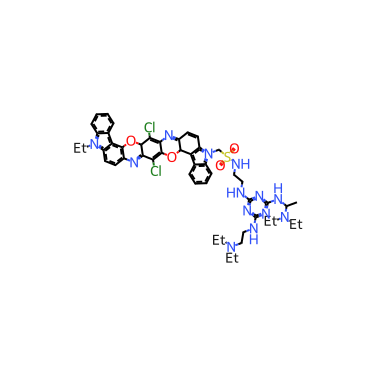 CCN(CC)CCNc1nc(NCCNS(=O)(=O)Cn2c3c(c4ccccc42)C2OC4=C(Cl)C5=Nc6ccc7c(c6OC5C(Cl)=C4N=C2C=C3)c2ccccc2n7CC)nc(NC(C)N(CC)CC)n1